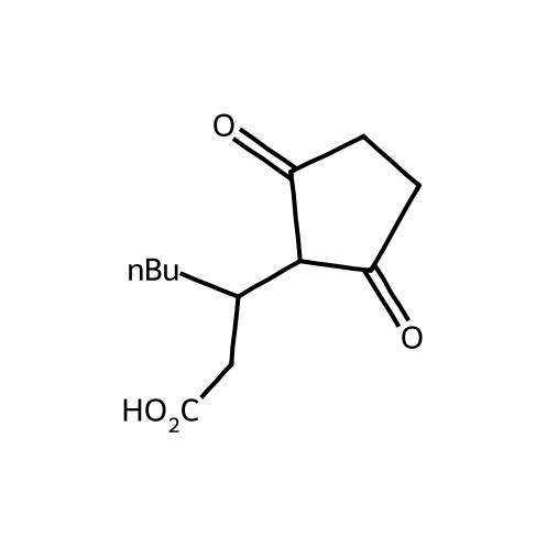 CCCCC(CC(=O)O)C1C(=O)CCC1=O